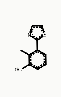 Cc1c(-c2nccs2)cccc1C(C)(C)C